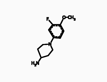 COc1ccc(N2CCC(N)CC2)cc1F